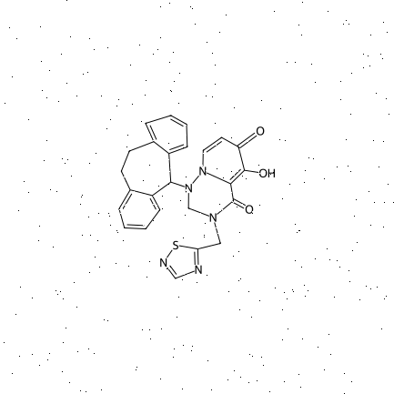 O=C1c2c(O)c(=O)ccn2N(C2c3ccccc3CCc3ccccc32)CN1Cc1ncns1